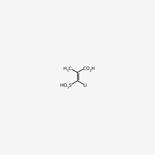 [Li][C](=C(C)C(=O)O)S(=O)(=O)O